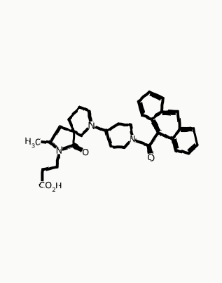 CC1CC2(CCCN(C3CCN(C(=O)c4c5ccccc5cc5ccccc45)CC3)C2)C(=O)N1CCC(=O)O